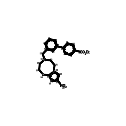 CCOC(=O)c1ccc(-c2cccc(CN3CCOc4nc([N+](=O)[O-])cn4CC3)c2)cc1